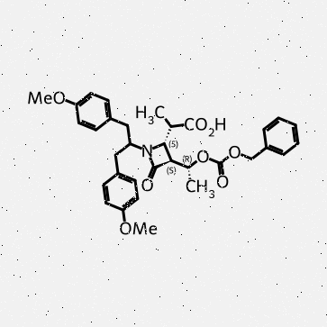 COc1ccc(CC(Cc2ccc(OC)cc2)N2C(=O)[C@H]([C@@H](C)OC(=O)OCc3ccccc3)[C@H]2C(C)C(=O)O)cc1